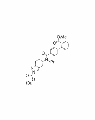 COC(=O)c1ccccc1-c1ccc(C(=O)N(C(C)C)C2CCc3nn(C(=O)OC(C)(C)C)cc3C2)cc1